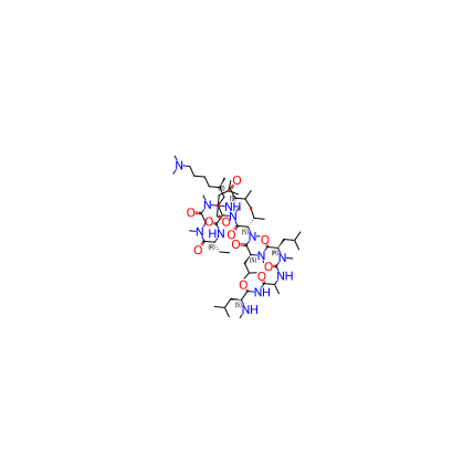 CC[C@@H](NC(=O)C(CC[C@H](C)CCCCN(C)C)N(C)C(=O)[C@H](C(C)C)N(C)C(=O)[C@H](CC(C)C)N(C)C(=O)[C@@H](CC(C)C)N(C)C(=O)NC(C)C(=O)NC(=O)[C@H](CC(C)C)NC)C(=O)N(C)CC(=O)N(C)C(C=O)(CC(C)C)N[C@H](C=O)C(C)C